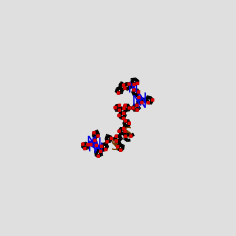 C=Cc1sc2c(-c3cccc(-c4ccc5c6ccccc6c6ccc(-c7cccc(-c8nc(-c9ccccc9)nc(-c9ccc(-n%10c%11ccccc%11c%11cc%12c(cc%11%10)-c%10ccccc%10C%12(C)C)cc9)n8)c7)cc6c5c4)c3)ccc(-c3cc(-c4cccc(-c5ccc6c7ccccc7n(-c7nc(-c8ccccc8)nc(-c8ccccc8)n7)c6c5)c4)c4sc5ccccc5c4c3)c2c1/C=C\C